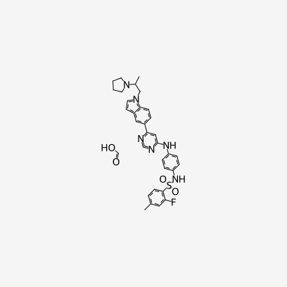 Cc1ccc(S(=O)(=O)Nc2ccc(Nc3cc(-c4ccc5c(ccn5CC(C)N5CCCC5)c4)ncn3)cc2)c(F)c1.O=CO